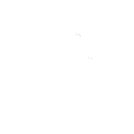 Oc1cc(-c2ccccc2)ccc1Br